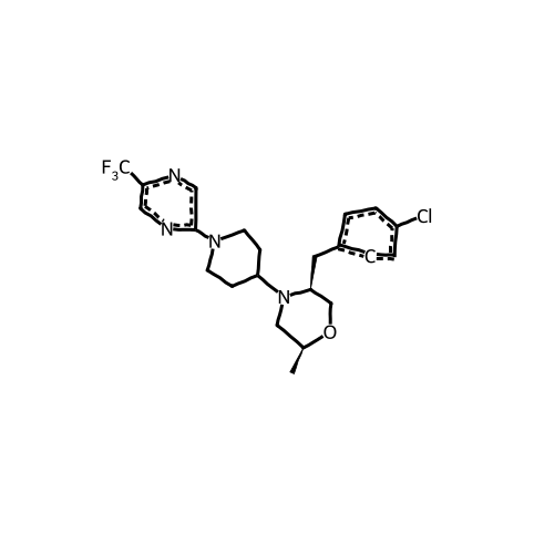 C[C@H]1CN(C2CCN(c3cnc(C(F)(F)F)cn3)CC2)[C@@H](Cc2ccc(Cl)cc2)CO1